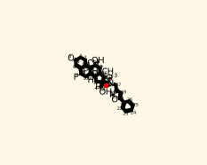 C[C@]12CCC(=O)C=C1[C@@H](F)C[C@H]1[C@@H]3C[C@H]4CN(Cc5cc(-c6ccccc6)on5)O[C@@]4(C(=O)CO)[C@@]3(C)C[C@H](O)[C@@]12F